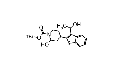 CC(O)c1c(C2CCN(C(=O)OC(C)(C)C)C(O)C2)sc2ccccc12